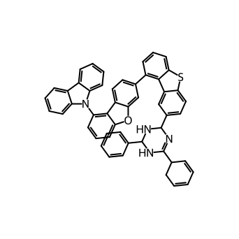 C1=CCC(C2=NC(c3ccc4sc5cccc(-c6ccc7c(c6)oc6cccc(-n8c9ccccc9c9ccccc98)c67)c5c4c3)NC(c3ccccc3)N2)C=C1